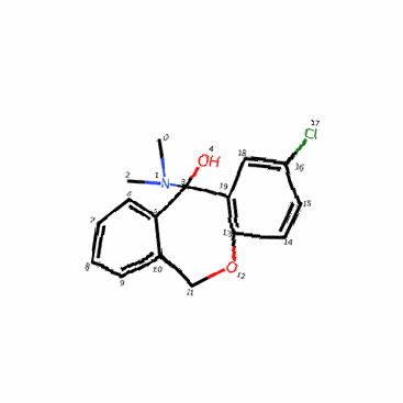 CN(C)C1(O)c2ccccc2COc2ccc(Cl)cc21